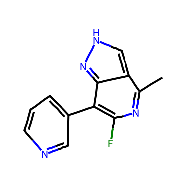 Cc1nc(F)c(-c2cccnc2)c2n[nH]cc12